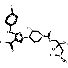 CN(C)CC(C)(C)COC(=O)N1CC[C@@H](n2cc(C(N)=O)c(Nc3ccc(F)cc3)n2)[C@H](C#N)C1